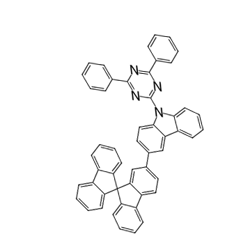 c1ccc(-c2nc(-c3ccccc3)nc(-n3c4ccccc4c4cc(-c5ccc6c(c5)C5(c7ccccc7-c7ccccc75)c5ccccc5-6)ccc43)n2)cc1